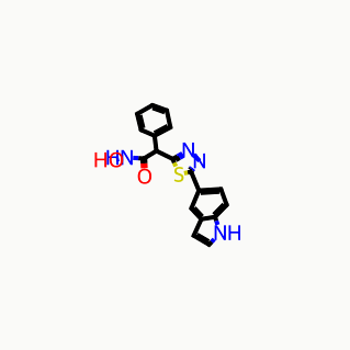 O=C(NO)C(c1ccccc1)c1nnc(-c2ccc3[nH]ccc3c2)s1